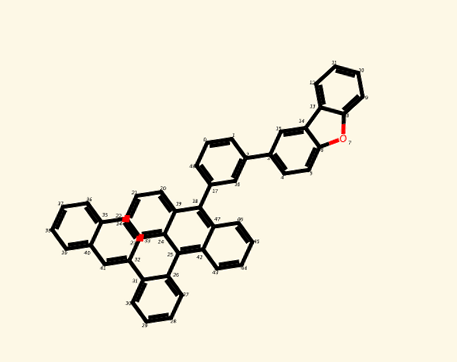 c1cc(-c2ccc3oc4ccccc4c3c2)cc(-c2c3ccccc3c(-c3ccccc3-c3ccc4ccccc4c3)c3ccccc23)c1